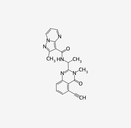 C#Cc1cccc2nc(C(C)NC(=O)c3c(C)nn4cccnc34)n(C)c(=O)c12